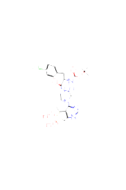 CC1c2c(ncnc2N2CCN(C(=O)C(Cc3ccc(Cl)cc3)NC(=O)OC(C)(C)C)CC2)CS1(O)O